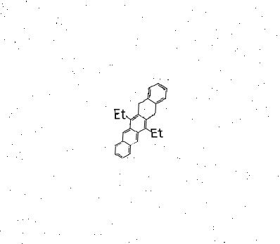 CCc1c2c(c(CC)c3cc4ccccc4cc13)Cc1ccccc1C2